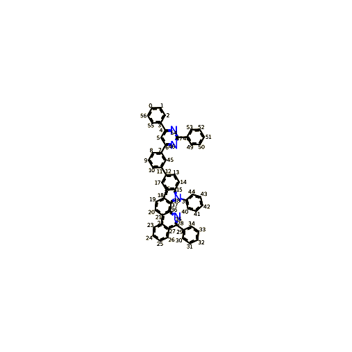 c1ccc(-c2cc(-c3cccc(-c4ccc5c(c4)c4ccc6c7ccccc7c(-c7ccccc7)nc6c4n5-c4ccccc4)c3)nc(-c3ccccc3)n2)cc1